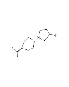 CC(C)[C@H]1CC[C@H](N2CC[C@@H](F)C2)CC1